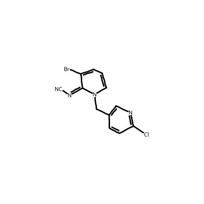 N#C/N=c1\c(Br)cccn1Cc1ccc(Cl)nc1